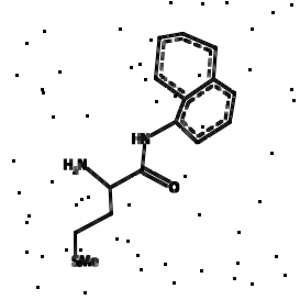 CSCCC(N)C(=O)Nc1cccc2ccccc12